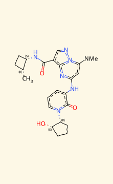 CNc1cc(Nc2cccn([C@@H]3CCC[C@@H]3O)c2=O)nc2c(C(=O)N[C@H]3CC[C@H]3C)cnn12